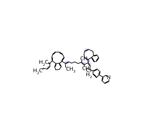 C=C/C=C\C(=C)c1ccccccc(/C(=C/CCC/C(C)=C(C)/C(=C\C(=C)c2ccc(-c3cccnc3)cc2)C2=C/C/C=C\Cc3ccccc3\2)CC)c2c1=CCCC=2